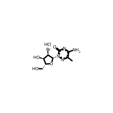 Cc1nn([C@@H]2O[C@H](CO)[C@@H](O)[C@H]2Br)c(=O)nc1N.Cl